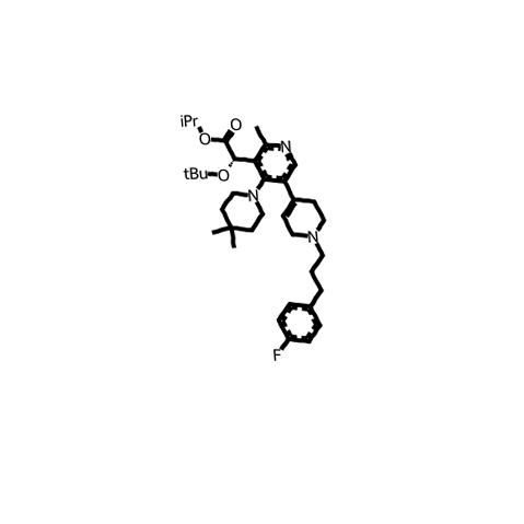 Cc1ncc(C2=CCN(CCCc3ccc(F)cc3)CC2)c(N2CCC(C)(C)CC2)c1[C@H](OC(C)(C)C)C(=O)OC(C)C